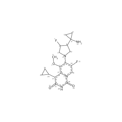 COc1c(N2CC(F)C(C3(N)CC3)C2)c(F)cn2c(=O)[nH]c(=O)c(C3CC3)c12